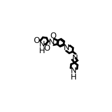 O=C1CCC(N2Cc3cc(N4CCC(CN5CC6(CCNCC6)C5)CC4)ccc3C2=O)C(=O)N1